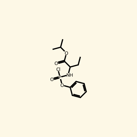 CCC(NP(=O)(Cl)Oc1ccccc1)C(=O)OC(C)C